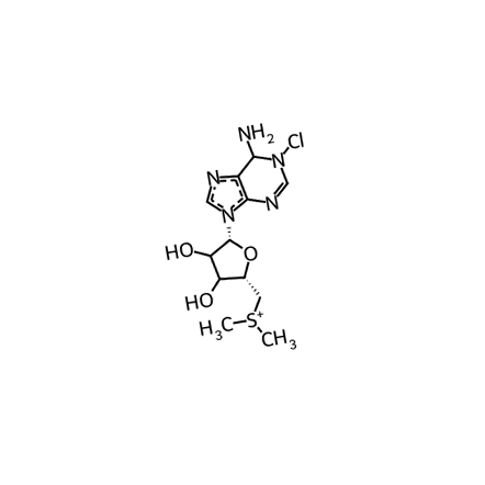 C[S+](C)C[C@H]1O[C@@H](n2cnc3c2N=CN(Cl)C3N)C(O)C1O